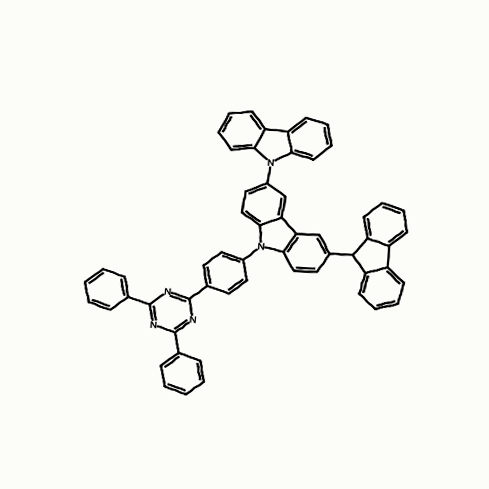 c1ccc(-c2nc(-c3ccccc3)nc(-c3ccc(-n4c5ccc(C6c7ccccc7-c7ccccc76)cc5c5cc(-n6c7ccccc7c7ccccc76)ccc54)cc3)n2)cc1